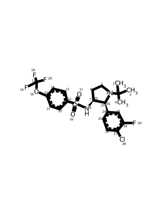 CC(C)(C)N1CC[C@H](NS(=O)(=O)c2ccc(OC(F)(F)F)cc2)[C@@H]1c1ccc(Cl)c(F)c1